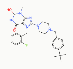 CN1c2nc(N3CCN(Cc4ccc(C(C)(C)C)cc4)CC3)n(Cc3ccccc3F)c2C(=O)NC1O